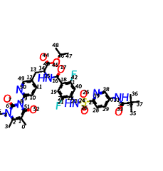 Cc1c(C)n(C)c(=O)n(-c2ccc(C[C@H](NC(=O)c3cc(F)c(NS(=O)(=O)c4ccc(NC(=O)C(C)(C)C)cn4)cc3F)C(=O)OC(C)C)cn2)c1=O